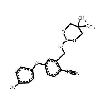 [C-]#[N+]c1ccc(Oc2ccc([N+]#N)c(COB3OCC(C)(C)CO3)c2)cc1